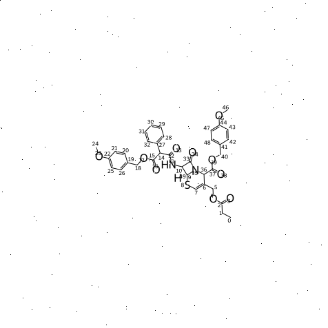 CCC(=O)OCC1=CS[C@H]2C(NC(=O)C(C(=O)OCc3ccc(OC)cc3)c3ccccc3)C(=O)N2C1C(=O)OCc1ccc(OC)cc1